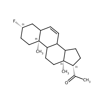 CC(=O)[C@H]1CCC2C3C=CC4C[C@@H](F)CC[C@]4(C)C3CC[C@@]21C